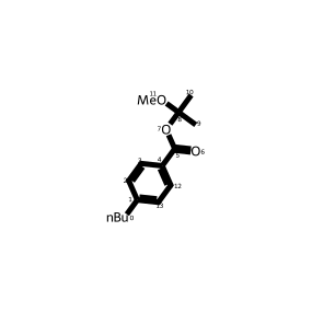 CCCCc1ccc(C(=O)OC(C)(C)OC)cc1